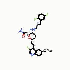 COc1ccc2ncc(F)c(C=C[C@@H]3CC[C@@H](NC/C=C/c4cc(F)ccc4F)[C@@H](CC(=O)N(C)C)O3)c2c1